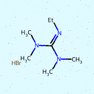 Br.CCN=C(N(C)C)N(C)C